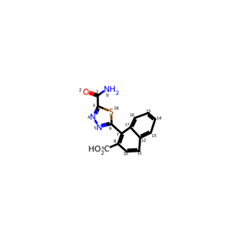 NC(=O)c1nnc(-c2c(C(=O)O)ccc3ccccc23)s1